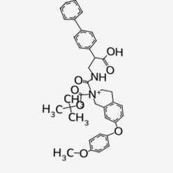 COc1ccc(Oc2ccc3c(c2)C[N+](C(=O)NCC(C(=O)O)c2ccc(-c4ccccc4)cc2)(C(=O)OC(C)(C)C)CC3)cc1